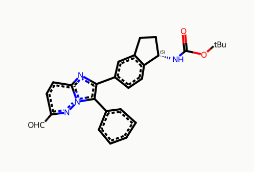 CC(C)(C)OC(=O)N[C@H]1CCc2cc(-c3nc4ccc(C=O)nn4c3-c3ccccc3)ccc21